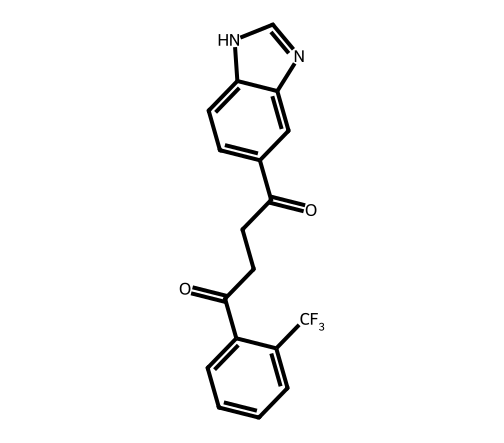 O=C(CCC(=O)c1ccccc1C(F)(F)F)c1ccc2[nH]cnc2c1